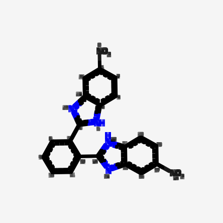 O=[N+]([O-])c1ccc2[nH]c(-c3ccccc3-c3nc4cc([N+](=O)[O-])ccc4[nH]3)nc2c1